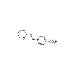 O=C(O)c1ccc(COC2CCCCO2)cc1